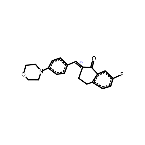 O=C1/C(=C/c2ccc(N3CCOCC3)cc2)CCc2ccc(F)cc21